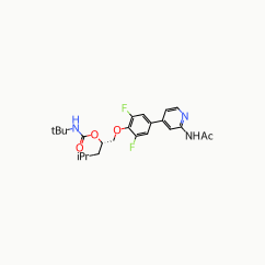 CC(=O)Nc1cc(-c2cc(F)c(OC[C@H](CC(C)C)OC(=O)NC(C)(C)C)c(F)c2)ccn1